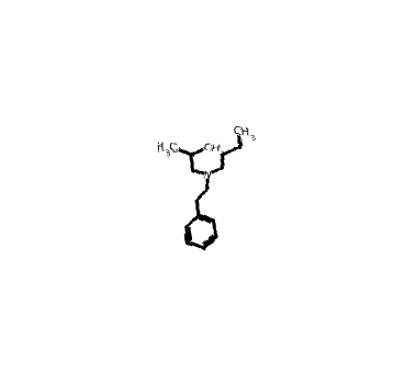 CCCCN(CCc1ccccc1)CC(C)C